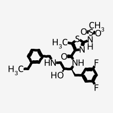 CCc1cccc(CNC[C@H](O)[C@H](Cc2cc(F)cc(F)c2)NC(=O)c2nc(NS(C)(=O)=O)sc2C)c1